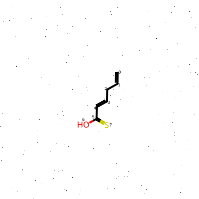 C=CCC=CC(O)=S